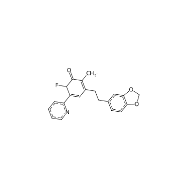 [CH2]C1=C(CCc2ccc3c(c2)OCO3)C=C(c2ccccn2)C(F)C1=O